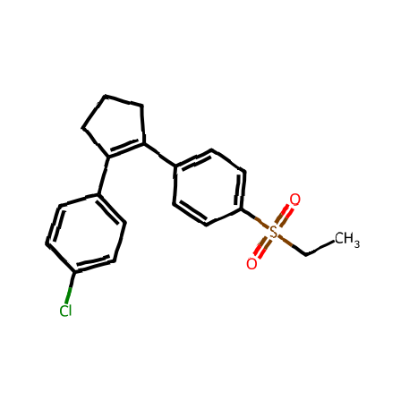 CCS(=O)(=O)c1ccc(C2=C(c3ccc(Cl)cc3)CCC2)cc1